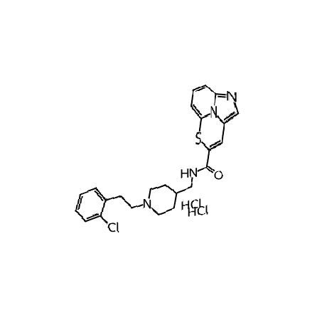 Cl.Cl.O=C(NCC1CCN(CCc2ccccc2Cl)CC1)C1=Cc2cnc3cccc(n23)S1